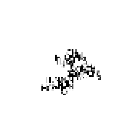 CC(C)(C)[Si](C)(C)OC[C@H]1O[C@@H](n2cnc3c(=O)n(CCO)c(N)nc32)CC1O[Si](C)(C)C(C)(C)C